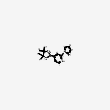 CC1(C)OB(c2ccnc(-n3cccn3)c2)OC1(C)C